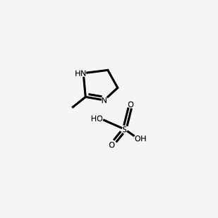 CC1=NCCN1.O=S(=O)(O)O